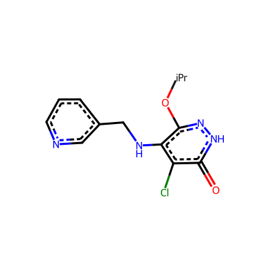 CC(C)Oc1n[nH]c(=O)c(Cl)c1NCc1cccnc1